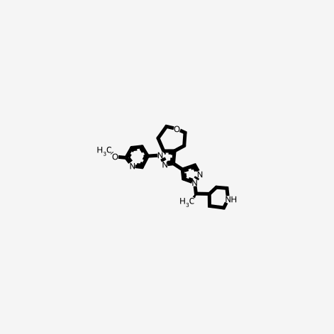 COc1ccc(-n2nc(-c3cnn([C@H](C)C4CCNCC4)c3)c3c2CCOCC3)cn1